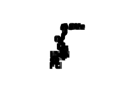 COC[C@H]1CCCN1C/C=C/C(=O)N1CCc2c(sc3ncnc(Nc4ccc(F)c(Cl)c4)c23)C1